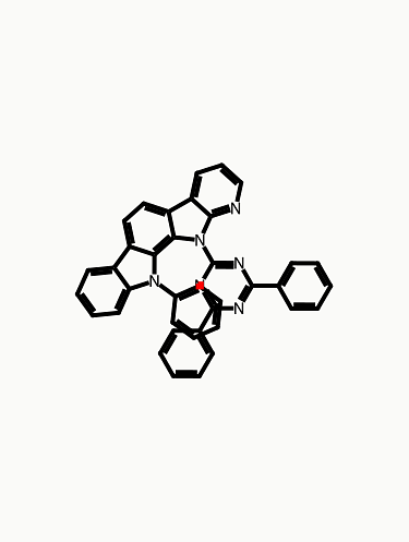 c1ccc(-c2nc(-c3ccccc3)nc(-n3c4ncccc4c4ccc5c6ccccc6n(-c6ccccc6)c5c43)n2)cc1